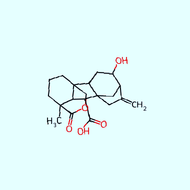 C=C1CC23CC1C(O)CC2C12CCCC(C)(C(=O)OC1)C2C3C(=O)O